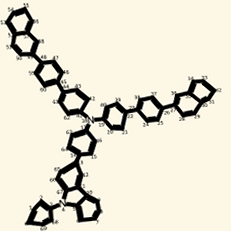 c1ccc(-n2c3ccccc3c3cc(-c4ccc(N(c5ccc(-c6ccc(-c7ccc8ccccc8c7)cc6)cc5)c5ccc(-c6ccc(-c7ccc8ccccc8c7)cc6)cc5)cc4)ccc32)cc1